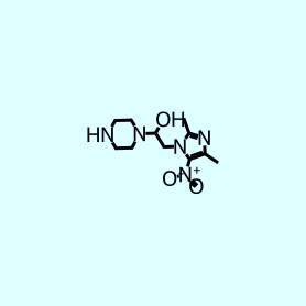 Cc1nc(C)n(CC(O)N2CCNCC2)c1[N+](=O)[O-]